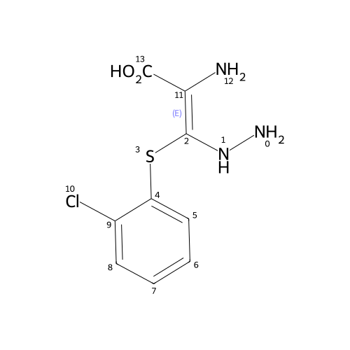 NN/C(Sc1ccccc1Cl)=C(\N)C(=O)O